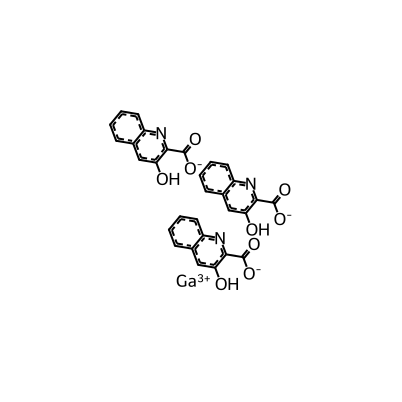 O=C([O-])c1nc2ccccc2cc1O.O=C([O-])c1nc2ccccc2cc1O.O=C([O-])c1nc2ccccc2cc1O.[Ga+3]